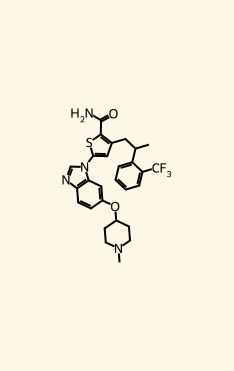 CC(Cc1cc(-n2cnc3ccc(OC4CCN(C)CC4)cc32)sc1C(N)=O)c1ccccc1C(F)(F)F